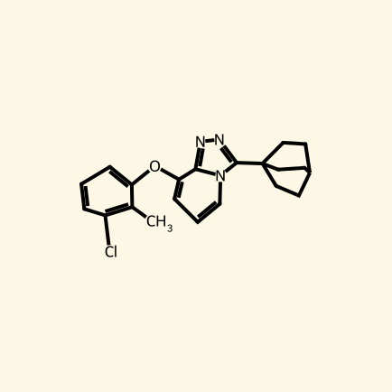 Cc1c(Cl)cccc1Oc1cccn2c(C34CCC(CC3)CC4)nnc12